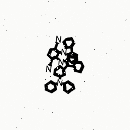 N#Cc1ccc(C#N)c(-n2c3ccc(N(c4ccccc4)c4ccccc4)cc3c3c4ccccc4ccc32)c1-n1c2ccccc2c2ccccc21